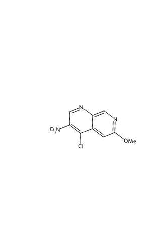 COc1cc2c(Cl)c([N+](=O)[O-])cnc2cn1